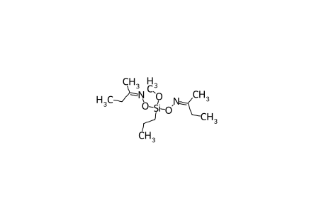 CCC[Si](OC)(ON=C(C)CC)ON=C(C)CC